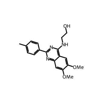 COc1cc2nc(-c3ccc(C)cc3)nc(NCCO)c2cc1OC